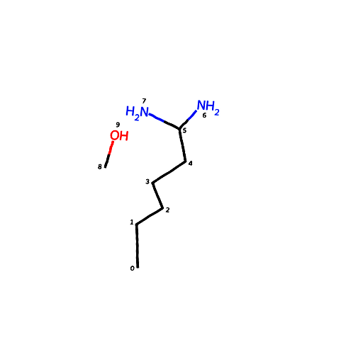 CCCCCC(N)N.CO